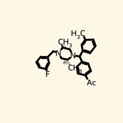 CC(=O)c1ccc(C(c2cccc(C)c2)N2C[C@H](C)N(Cc3cccc(F)c3)C[C@H]2C)cc1